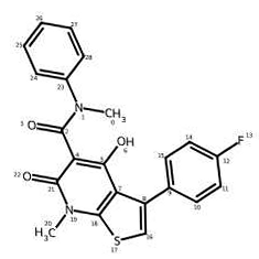 CN(C(=O)c1c(O)c2c(-c3ccc(F)cc3)csc2n(C)c1=O)c1ccccc1